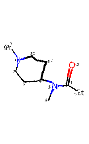 CCC(=O)N(C)C1CCN(C(C)C)CC1